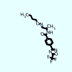 CCCCO/N=C/C(C)NC(=O)c1ccc(-c2noc(C(F)(F)F)n2)cc1